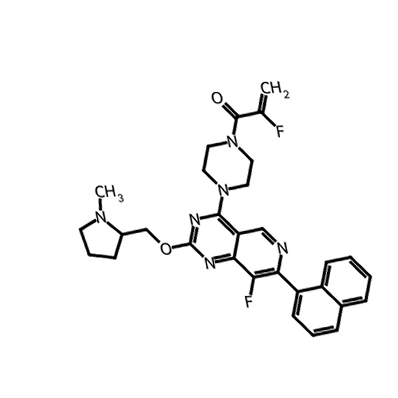 C=C(F)C(=O)N1CCN(c2nc(OCC3CCCN3C)nc3c(F)c(-c4cccc5ccccc45)ncc23)CC1